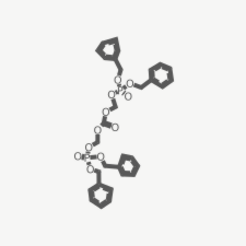 O=C(OCOP(=O)(OCc1ccccc1)OCc1ccccc1)OCOP(=O)(OCc1ccccc1)OCc1ccccc1